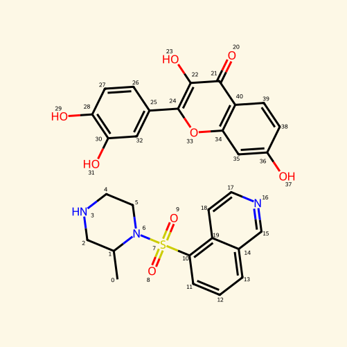 CC1CNCCN1S(=O)(=O)c1cccc2cnccc12.O=c1c(O)c(-c2ccc(O)c(O)c2)oc2cc(O)ccc12